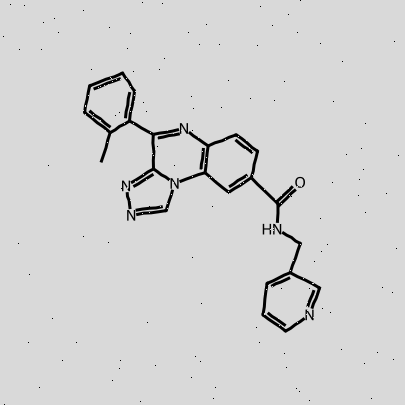 Cc1ccccc1-c1nc2ccc(C(=O)NCc3cccnc3)cc2n2cnnc12